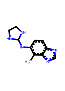 Cc1c(NC2NCCN2)ccc2[nH]cnc12